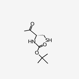 CC(=O)[C@H](CS)NC(=O)OC(C)(C)C